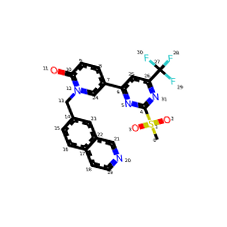 CS(=O)(=O)c1nc(-c2ccc(=O)n(Cc3ccc4ccncc4c3)c2)cc(C(F)(F)F)n1